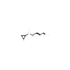 O=CC=CCNC1CC1